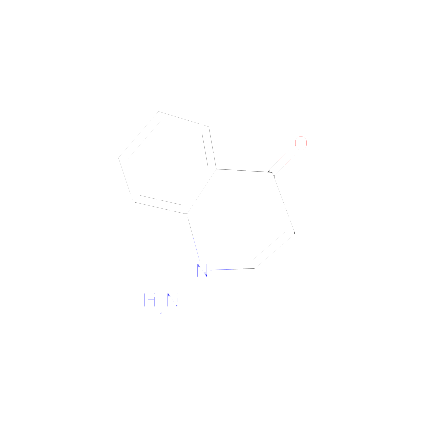 Nn1ccc(=O)c2ccccc21